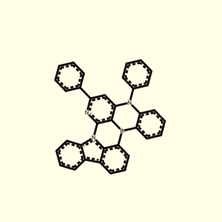 c1ccc(-c2cc3c4c(n2)-n2c5ccccc5c5cccc(c52)B4c2ccccc2N3c2ccccc2)cc1